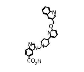 O=C(O)c1ccc2ncn(CN3CCC(c4cccc(OCc5cnc6ccccc6c5)n4)CC3)c2c1